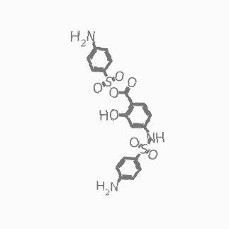 Nc1ccc(S(=O)(=O)Nc2ccc(C(=O)OS(=O)(=O)c3ccc(N)cc3)c(O)c2)cc1